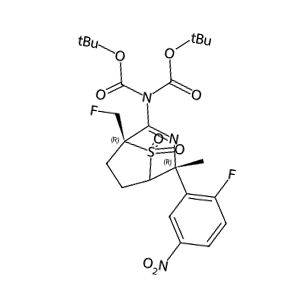 CC(C)(C)OC(=O)N(C(=O)OC(C)(C)C)C1=N[C@](C)(c2cc([N+](=O)[O-])ccc2F)C2CC[C@@]1(CF)S2(=O)=O